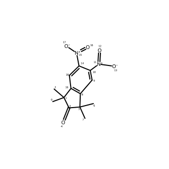 CC1(C)C(=O)C(C)(C)c2cc([N+](=O)[O-])c([N+](=O)[O-])cc21